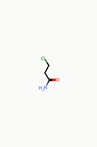 NC(=O)C[CH]Cl